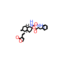 C=C1CC[C@H]2[C@](C)(CC[C@@H](OC(=O)[C@H](N)Cc3ccccc3)[C@]2(C)NC=O)[C@@H]1C=CC1=CCOC1=O